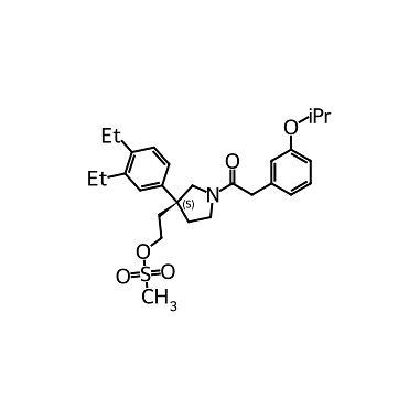 CCc1ccc([C@@]2(CCOS(C)(=O)=O)CCN(C(=O)Cc3cccc(OC(C)C)c3)C2)cc1CC